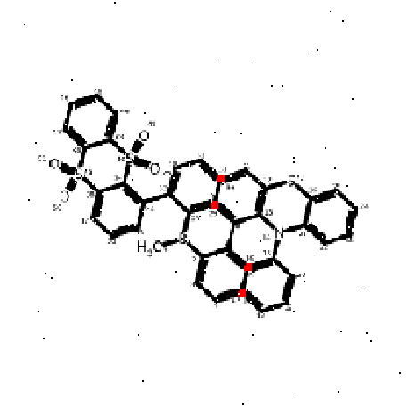 CB(c1ccccc1-c1cccc2c1N(c1ccccc1)c1ccccc1S2)c1ccccc1-c1cccc2c1S(=O)(=O)c1ccccc1S2(=O)=O